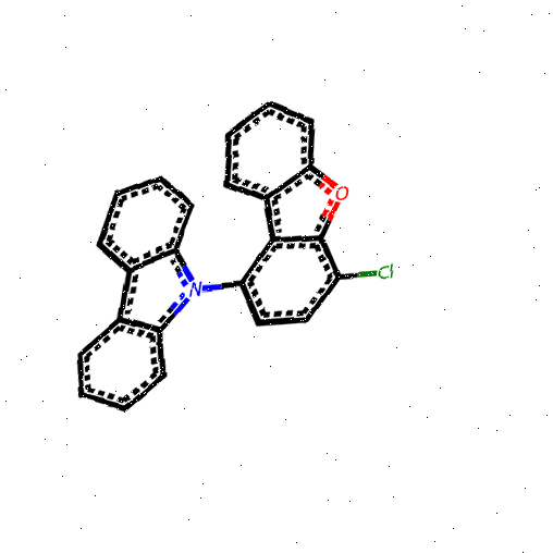 Clc1ccc(-n2c3ccccc3c3ccccc32)c2c1oc1ccccc12